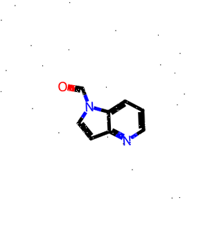 O=Cn1ccc2ncccc21